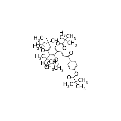 CCC(C)(C)c1c(OC(=O)C(C)(C)C)c(C=CC(=O)c2ccc(OC(=O)C(C)(C)C)cc2)c(OC(C)C)c(C(C)(C)CC)c1OC